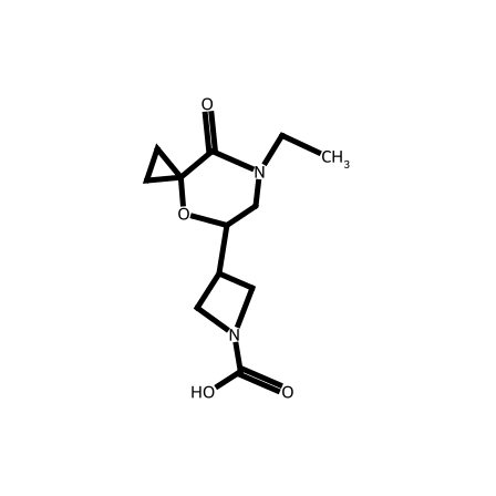 CCN1CC(C2CN(C(=O)O)C2)OC2(CC2)C1=O